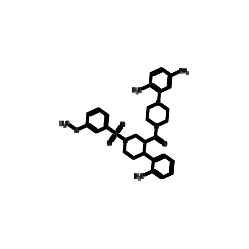 COc1cccc(S(=O)(=O)N2CCC(c3ccccc3C)C(C(=O)N3CCN(c4cc(C)ccc4C)CC3)C2)c1